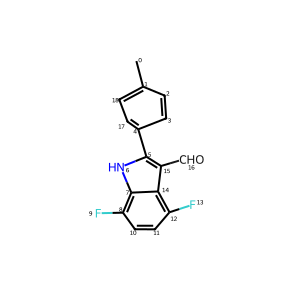 Cc1ccc(-c2[nH]c3c(F)ccc(F)c3c2C=O)cc1